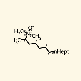 CCCCCCCCCCCCC(C)[N+](C)(C)[O-]